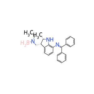 BN(CC)C[C@H]1c2cccc(N=C(c3ccccc3)c3ccccc3)c2N[C@H]1C